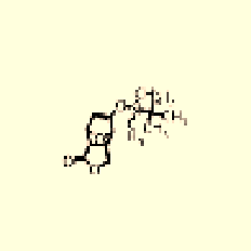 CC(C)(C)[Si](C)(C)OC1=CC2OC1C1COC(=O)C21